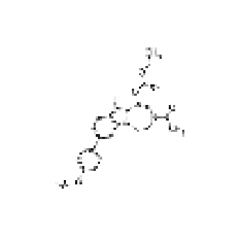 CCOC(=O)OC1=CN(C(C)=O)CCc2c1[nH]c1ccc(-c3ccc(OC)cc3)cc21